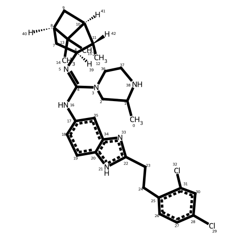 CC1CN(/C(=N\[C@H]2C[C@H]3C[C@@H]([C@@H]2C)C3(C)C)Nc2ccc3[nH]c(CCc4ccc(Cl)cc4Cl)nc3c2)CCN1